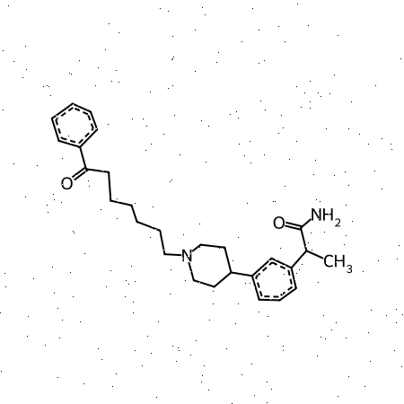 CC(C(N)=O)c1cccc(C2CCN(CCCCCCC(=O)c3ccccc3)CC2)c1